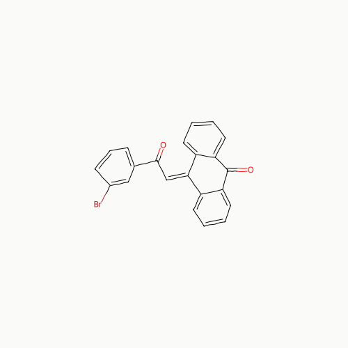 O=C(C=C1c2ccccc2C(=O)c2ccccc21)c1cccc(Br)c1